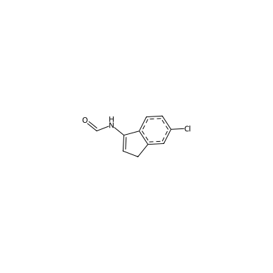 O=CNC1=CCc2cc(Cl)ccc21